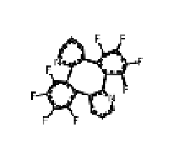 Fc1c(F)c(F)c2c(c1F)-c1cccnc1-c1c(F)c(F)c(F)c(F)c1-c1cccnc1-2